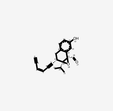 C#C/C=C\C#C[C@@H]1Cc2ccc(O)cc2[C@@]2(C=O)O[C@@]12C(C)C